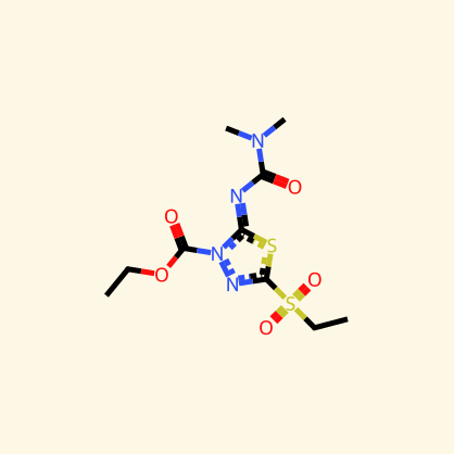 CCOC(=O)n1nc(S(=O)(=O)CC)sc1=NC(=O)N(C)C